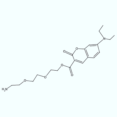 CCN(CC)c1ccc2cc(C(=O)OCCOCCOCCN)c(=O)oc2c1